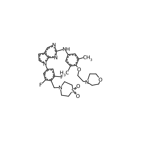 Cc1cc(Nc2ncc3ccn(-c4cc(F)c(CN5CCS(=O)(=O)CC5)c(F)c4)c3n2)cc(C)c1OCCN1CCOCC1